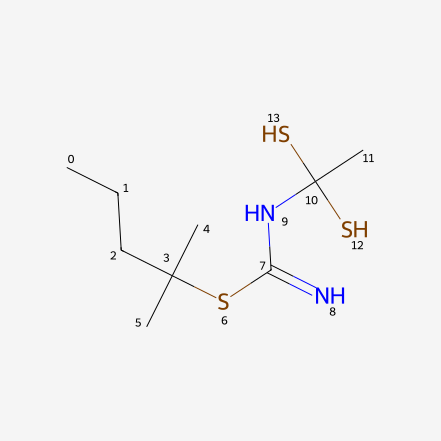 CCCC(C)(C)SC(=N)NC(C)(S)S